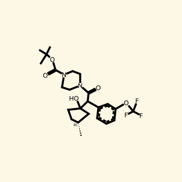 C[C@@H]1CCC(O)(C(C(=O)N2CCN(C(=O)OC(C)(C)C)CC2)c2cccc(OC(F)(F)F)c2)C1